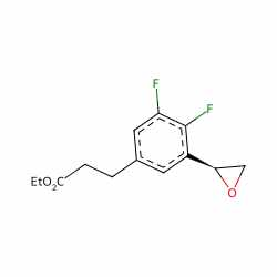 CCOC(=O)CCc1cc(F)c(F)c([C@H]2CO2)c1